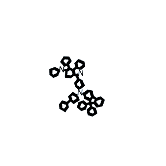 c1ccc(-c2ccc(N(c3ccc(-c4nc5ccccc5c5c4ccc4c5c5ccccc5n4-c4ccccc4)cc3)c3ccc4c(c3)C(c3ccccc3)(c3ccccc3)c3ccccc3-4)cc2)cc1